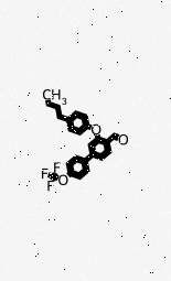 CCCCc1ccc(Oc2cc(-c3ccc(OC(F)(F)F)cc3)ccc2C=O)cc1